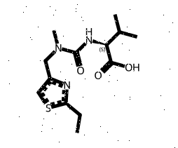 CCc1nc(CN(C)C(=O)N[C@H](C(=O)O)C(C)C)cs1